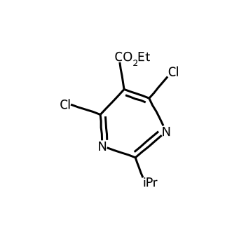 CCOC(=O)c1c(Cl)nc(C(C)C)nc1Cl